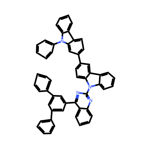 c1ccc(-c2cc(-c3ccccc3)cc(-c3nc(-n4c5ccccc5c5cc(-c6ccc7c8ccccc8n(-c8ccccc8)c7c6)ccc54)nc4ccccc34)c2)cc1